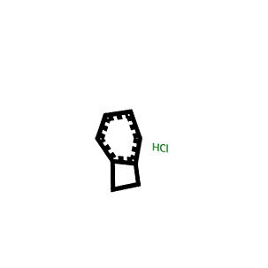 Cl.c1ccc2c(c1)CC2